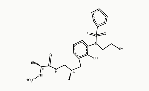 CC(C)CCN(c1cccc(C[C@@H](C)CNC(=O)[C@@H](NC(=O)O)C(C)(C)C)c1O)S(=O)(=O)c1ccccc1